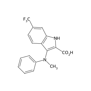 CN(c1ccccc1)c1c(C(=O)O)[nH]c2cc(C(F)(F)F)ccc12